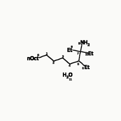 CCCCCCCCCCCCC(CC)C(N)(CC)CC.O